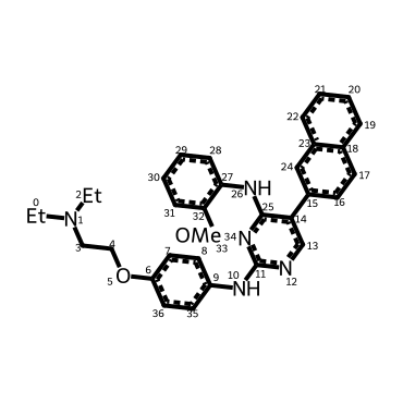 CCN(CC)CCOc1ccc(Nc2ncc(-c3ccc4ccccc4c3)c(Nc3ccccc3OC)n2)cc1